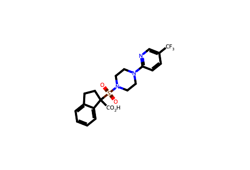 O=C(O)C1(S(=O)(=O)N2CCN(c3ccc(C(F)(F)F)cn3)CC2)CCc2ccccc21